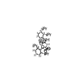 CC(C)c1ccc(C(C)C)c(C(C)C)c1NC(=O)CS(=O)(=O)Oc1c(C(C)C)cccc1C(C)C